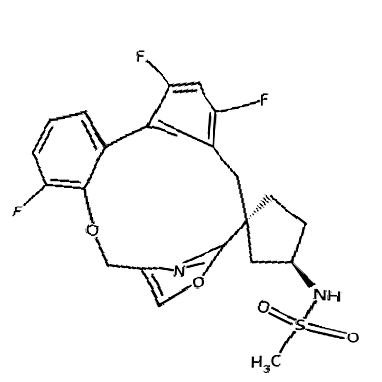 CS(=O)(=O)N[C@@H]1CC[C@]2(Cc3cc(c(F)cc3F)-c3cccc(F)c3OCc3coc2n3)C1